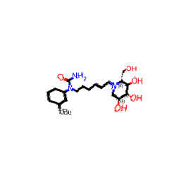 CC(C)(C)C1CCCC(N(CCCCCCN2C[C@H](O)[C@@H](O)C(O)[C@H]2CO)C(N)=O)C1